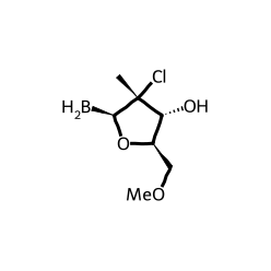 B[C@@H]1O[C@H](COC)[C@@H](O)[C@@]1(C)Cl